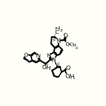 COC(=O)N1c2ccc3c(nc([C@@H](O)c4cc5ccoc5cn4)n3[C@@H]3CCCC(C(=O)O)C3)c2CC[C@@H]1C